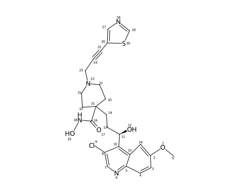 COc1ccc2ncc(Cl)c([C@H](O)CCC3(C(=O)NO)CCN(CC#Cc4cncs4)CC3)c2c1